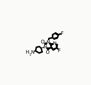 N[C@H]1CC[C@@H](n2c(=O)c3cc(F)cnc3n(CC3C=CC(F)=CC3)c2=O)CC1